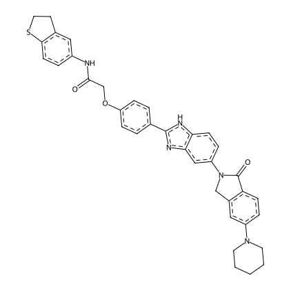 O=C(COc1ccc(-c2nc3cc(N4Cc5cc(N6CCCCC6)ccc5C4=O)ccc3[nH]2)cc1)Nc1ccc2c(c1)CCS2